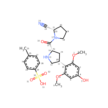 COc1cc(O)cc(OC)c1[C@@H]1CN[C@H](C(=O)N2CCC[C@H]2C#N)C1.Cc1ccc(S(=O)(=O)O)cc1